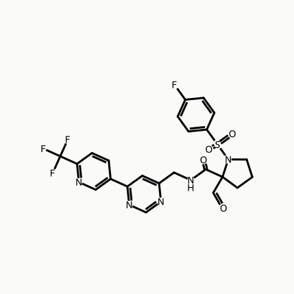 O=CC1(C(=O)NCc2cc(-c3ccc(C(F)(F)F)nc3)ncn2)CCCN1S(=O)(=O)c1ccc(F)cc1